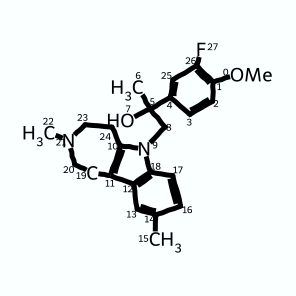 COc1ccc(C(C)(O)Cn2c3c(c4cc(C)ccc42)CCN(C)CC3)cc1F